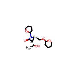 CC(O)[C@@H]1C(=O)N(C2CCCCO2)[C@H]1CCOC1CCCCO1